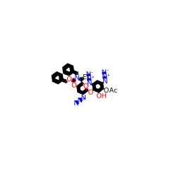 CCC([C@@H]1CC[C@@H](N=[N+]=[N-])[C@@H](O[C@H]2[C@H](O)[C@@H](OC(C)=O)[C@H](N=[N+]=[N-])C[C@@H]2N=[N+]=[N-])O1)N(Cc1ccccc1)C(=O)OCc1ccccc1